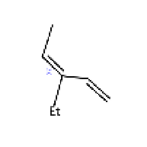 C=C/C(=C\C)CC